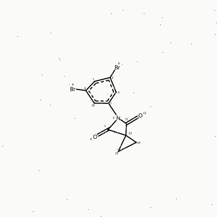 O=C1N(c2cc(Br)cc(Br)c2)C(=O)C12CC2